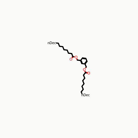 CCCCCCCCCCCCCCCCCC(=O)OCc1cccc(COC(=O)CCCCCCCCCCCCCCCCC)c1